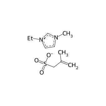 C=C(C)CS(=O)(=O)[O-].CC[n+]1ccn(C)c1